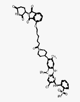 Cc1cc(Nc2ncc(Cl)c(Nc3ccccc3S(=O)(=O)C(C)C)n2)c(OC(C)C)cc1C1CCN(C(=O)CCCCCOc2cccc3c2C(=O)N(C2CCC(=O)NC2=O)C3=O)CC1